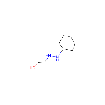 OCCNNC1CCCCC1